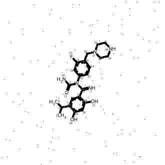 CC(C)c1cc(C(=N)N(C(N)=O)c2ccc(CN3CCNCC3)c(F)c2)c(O)cc1O